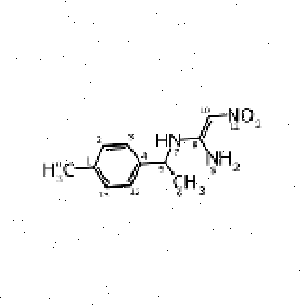 Cc1ccc(C(C)N/C(N)=C/[N+](=O)[O-])cc1